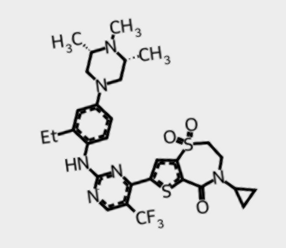 CCc1cc(N2C[C@@H](C)N(C)[C@@H](C)C2)ccc1Nc1ncc(C(F)(F)F)c(-c2cc3c(s2)C(=O)N(C2CC2)CCS3(=O)=O)n1